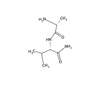 CC(C)[C@H](NC(=O)[C@@H](C)N)C(N)=O